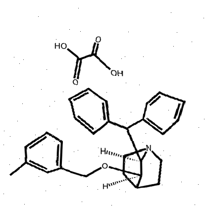 Cc1cccc(CO[C@@H]2C3CCN(CC3)[C@@H]2C(c2ccccc2)c2ccccc2)c1.O=C(O)C(=O)O